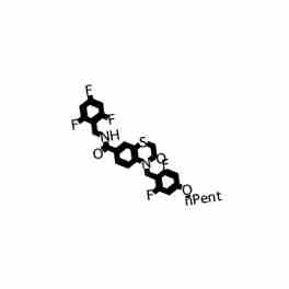 CCCCCOc1cc(F)c(CN2C(=O)CSc3cc(C(=O)NCc4c(F)cc(F)cc4F)ccc32)c(F)c1